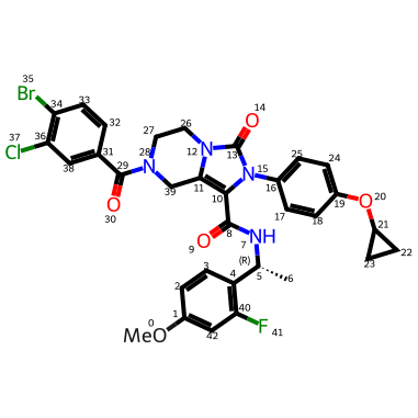 COc1ccc([C@@H](C)NC(=O)c2c3n(c(=O)n2-c2ccc(OC4CC4)cc2)CCN(C(=O)c2ccc(Br)c(Cl)c2)C3)c(F)c1